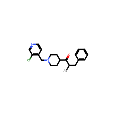 CC(=O)C(Cc1ccccc1)C(=O)C1CCN(Cc2ccncc2Cl)CC1